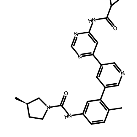 Cc1ccc(NC(=O)N2CC[C@@H](C)C2)cc1-c1cncc(-c2cc(NC(=O)C3CC3)ncn2)c1